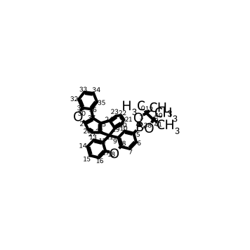 CC1(C)OB(c2ccc3c(c2)C2(c4ccccc4O3)c3ccccc3-c3c2ccc2oc4ccccc4c32)OC1(C)C